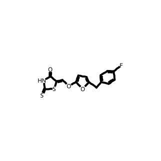 O=C1NC(=S)SC1=COc1ccc(Cc2ccc(F)cc2)o1